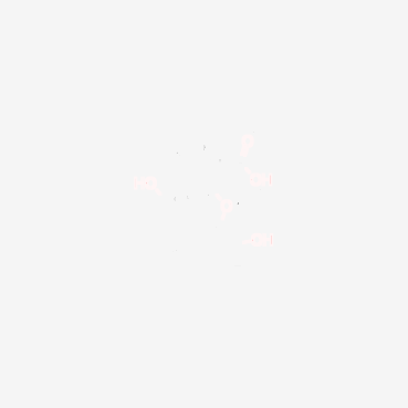 CC(O)COc1ccccc1C(=O)O.CCCO